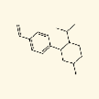 C=Cc1ccc(C2CC(C)CCC2C(C)C)cc1